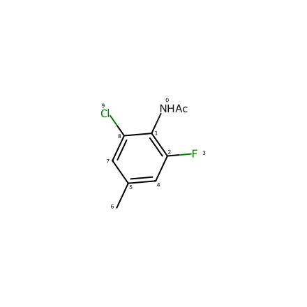 CC(=O)Nc1c(F)cc(C)cc1Cl